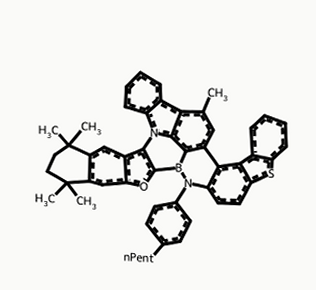 CCCCCc1ccc(N2B3c4oc5cc6c(cc5c4-n4c5ccccc5c5c(C)cc(c3c54)-c3c2ccc2sc4ccccc4c32)C(C)(C)CCC6(C)C)cc1